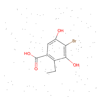 CCc1c(C(=O)O)cc(O)c(Br)c1O